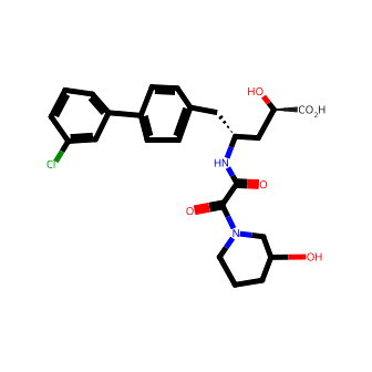 O=C(N[C@H](Cc1ccc(-c2cccc(Cl)c2)cc1)C[C@@H](O)C(=O)O)C(=O)N1CCCC(O)C1